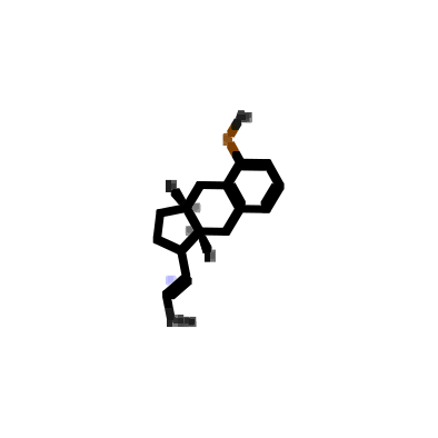 CCCCCC/C=C/C1CC[C@@H]2Cc3c(cccc3SC(C)=O)C[C@H]12